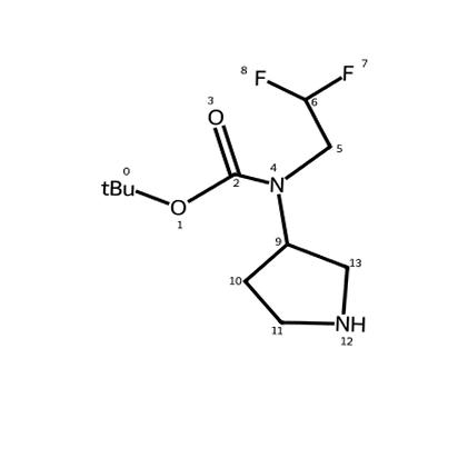 CC(C)(C)OC(=O)N(CC(F)F)C1CCNC1